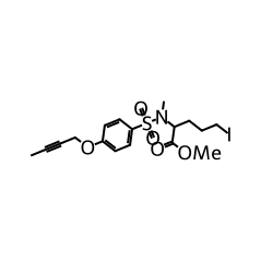 CC#CCOc1ccc(S(=O)(=O)N(C)C(CCCI)C(=O)OC)cc1